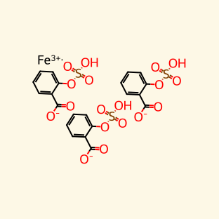 O=C([O-])c1ccccc1OS(=O)(=O)O.O=C([O-])c1ccccc1OS(=O)(=O)O.O=C([O-])c1ccccc1OS(=O)(=O)O.[Fe+3]